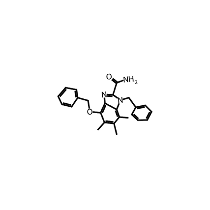 Cc1c(C)c(C)c2c(nc(C(N)=O)n2Cc2ccccc2)c1OCc1ccccc1